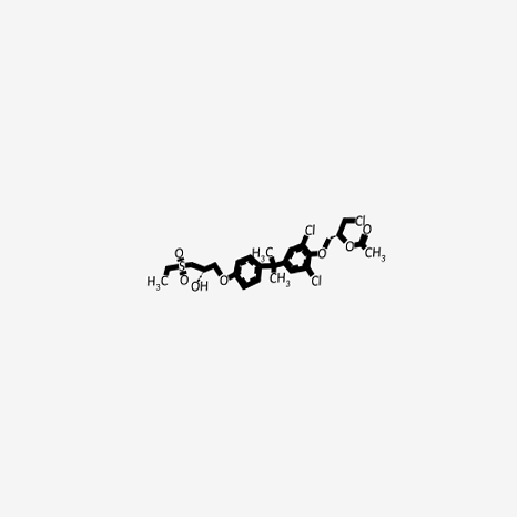 CCS(=O)(=O)C[C@@H](O)COc1ccc(C(C)(C)c2cc(Cl)c(OC[C@H](CCl)OC(C)=O)c(Cl)c2)cc1